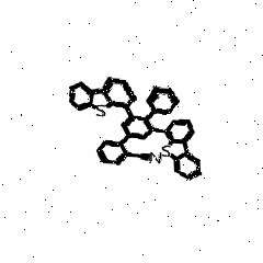 N#Cc1ccccc1-c1cc(-c2cccc3c2sc2ccccc23)c(-c2ccccc2)c(-c2cccc3c2sc2ccccc23)c1